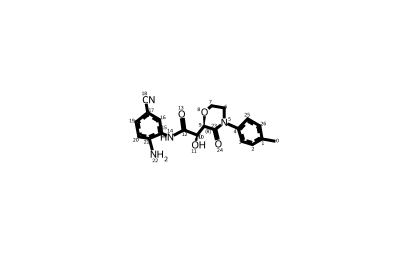 Cc1ccc(N2CCO[C@H]([C@@H](O)C(=O)Nc3cc(C#N)ccc3N)C2=O)cc1